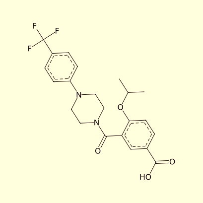 CC(C)Oc1ccc(C(=O)O)cc1C(=O)N1CCN(c2ccc(C(F)(F)F)cc2)CC1